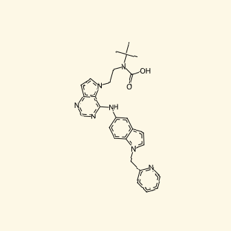 CC(C)(C)N(CCn1ccc2ncnc(Nc3ccc4c(ccn4Cc4ccccn4)c3)c21)C(=O)O